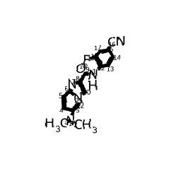 CN(C)c1ccc2nc(C(=O)Nc3ccc(C#N)cc3F)cn2c1